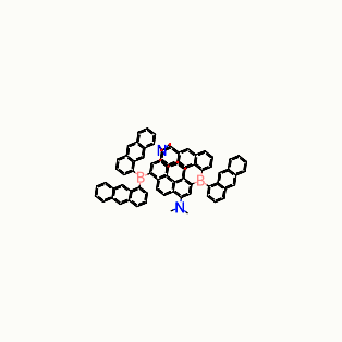 CN(C)c1cc(B(c2cccc3cc4ccccc4cc23)c2cccc3cc4ccccc4cc23)c2ccc3c(N(C)C)cc(B(c4cccc5cc6ccccc6cc45)c4cccc5cc6ccccc6cc45)c4ccc1c2c43